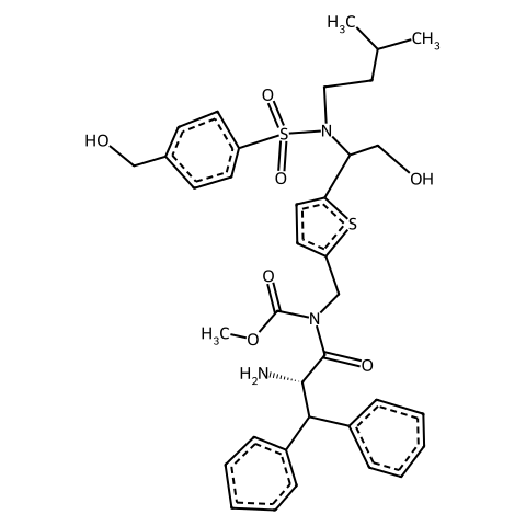 COC(=O)N(Cc1ccc(C(CO)N(CCC(C)C)S(=O)(=O)c2ccc(CO)cc2)s1)C(=O)[C@@H](N)C(c1ccccc1)c1ccccc1